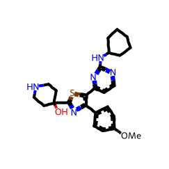 COc1ccc(-c2nc(C3(O)CCNCC3)sc2-c2ccnc(NC3CCCCC3)n2)cc1